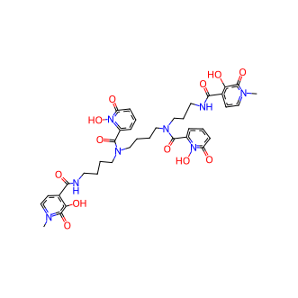 Cn1ccc(C(=O)NCCCCN(CCCCN(CCCNC(=O)c2ccn(C)c(=O)c2O)C(=O)c2cccc(=O)n2O)C(=O)c2cccc(=O)n2O)c(O)c1=O